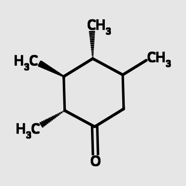 CC1CC(=O)[C@H](C)[C@@H](C)[C@@H]1C